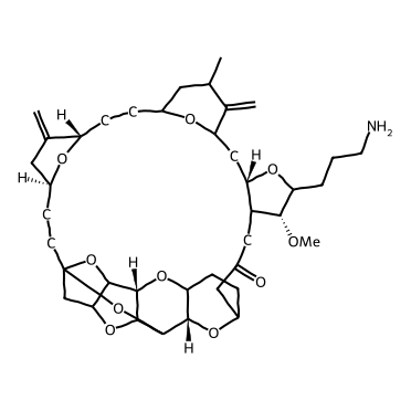 C=C1C(C)CC2CC[C@@H]3O[C@@H](CCC45CC6OC7C(O4)[C@H]4OC(CCC4O[C@H]7C6O5)CC(=O)CC4[C@@H](OC)C(CCCN)O[C@H]4CC1O2)CC3=C